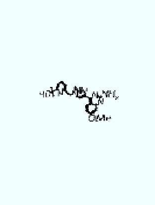 COc1ccc2c(-c3cn(Cc4cccc(C(C)(C)O)n4)nn3)nc(N)nc2c1